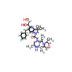 C[C@@H]1CN(CC(=O)N2CC(C)(C)c3nc(C(O)CO)c(Cc4ccc(F)cc4)cc32)[C@@H]([C@H](C)N2[C@H](C)COC[C@H]2C)CN1